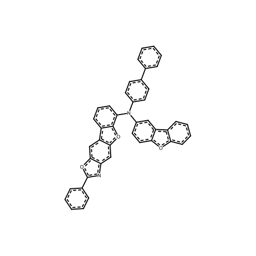 c1ccc(-c2ccc(N(c3ccc4oc5ccccc5c4c3)c3cccc4c3oc3cc5nc(-c6ccccc6)oc5cc34)cc2)cc1